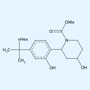 CCCCCCC(C)(C)c1ccc(C2CC(O)CCN2C(=O)OC)c(O)c1